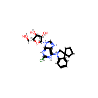 OC[C@H]1O[C@@H](n2cnc3c(N4CC5(CCCC5)c5ccccc54)nc(Cl)nc32)[C@@H](O)C1O